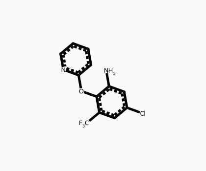 Nc1cc(Cl)cc(C(F)(F)F)c1Oc1ccccn1